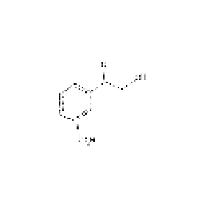 O=C(O)c1cccc(C(=O)CO)c1